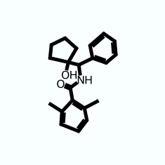 Cc1cccc(C)c1C(=O)NC(c1ccccc1)C1(O)CCCC1